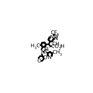 Cc1cnc2c(c1)[S+]([O-])N(Cc1cc(C(CC(=O)O)c3ccn4c(C(F)(F)F)nnc4c3C)ccc1C)CC1(CCOCC1)O2